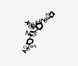 CC(C)OC(=O)N[C@H]1CC[C@@H](c2ncc(-c3ccc(NONCc4ccccc4)cc3[S+]([O-])NC(C)(C)C)s2)CC1